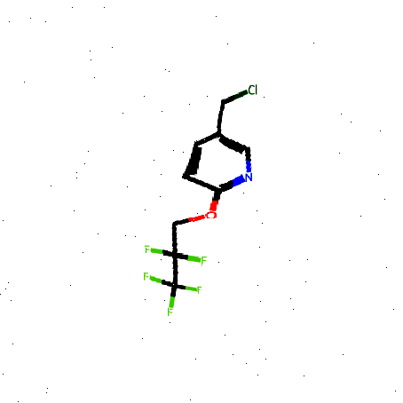 FC(F)(F)C(F)(F)COc1ccc(CCl)cn1